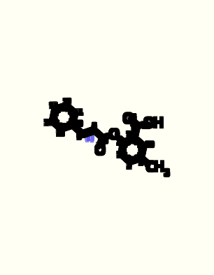 Cc1ccc(OC(=O)/C=C/c2ccccc2)c(C(=O)O)c1